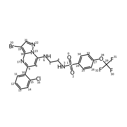 O=S(=O)(NCCNc1cc(-c2ccccc2Cl)nc2c(Br)cnn12)c1ccc(OC(F)(F)F)cc1